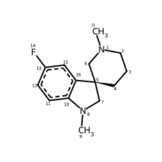 CN1CCC[C@@]2(C1)CN(C)c1ccc(F)cc12